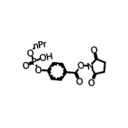 CCCOP(=O)(O)Oc1ccc(C(=O)ON2C(=O)CCC2=O)cc1